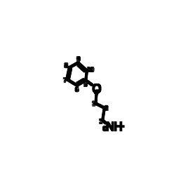 [NH]CCCOc1ccccc1